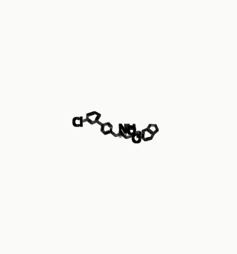 N[C@@H](CC(=O)Oc1ccc2c(c1)CCC2)Cc1ccc(-c2cccc(Cl)c2)cc1